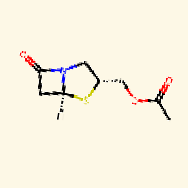 CC(=O)OC[C@H]1CN2C(=O)C[C@@H]2S1